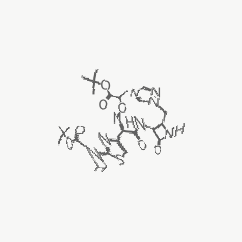 CC(ON=C(C(=O)N[C@@H]1C(=O)N[C@@H]1Cn1cncn1)c1csc(NC(=O)OC(C)(C)C)n1)C(=O)OC(C)(C)C